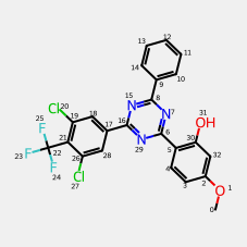 COc1ccc(-c2nc(-c3ccccc3)nc(-c3cc(Cl)c(C(F)(F)F)c(Cl)c3)n2)c(O)c1